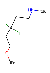 CC(C)OCCC(F)(F)CCNC(C)(C)C